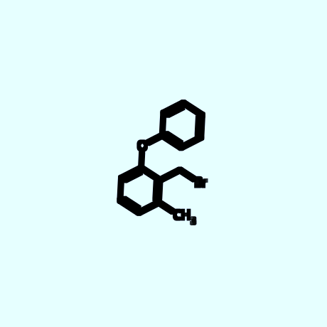 Cc1cccc(Oc2ccccc2)c1CBr